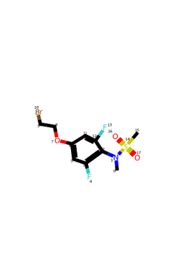 CN(c1c(F)cc(OCCBr)cc1F)S(C)(=O)=O